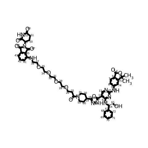 CC1(C)OC(=O)c2ccc(Nc3ncc(-c4nnc(C5CCN(C(=O)CCOCCOCCOCCOCCNc6cccc7c6C(=O)N(C6CCC(=O)NC6=O)C7=O)CC5)o4)c(N[C@H](CO)c4ccccc4)n3)cc21